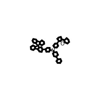 c1ccc(-c2ccc(N(c3ccc(-c4ccc5c(c4)C4(c6ccccc6-c6ccccc64)c4ccccc4-5)cc3)c3ccc(-c4cccc5c4oc4ccccc45)cc3)cc2)cc1